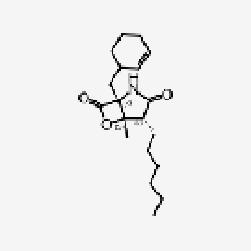 CCCCCC[C@H]1C(=O)N[C@@]2(CC3C=CCCC3)C(=O)O[C@@]12C